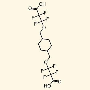 O=C(O)C(F)(F)C(F)(F)OCC1CCC(COC(F)(F)C(F)(F)C(=O)O)CC1